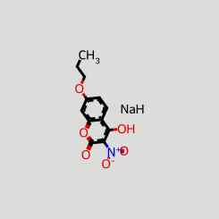 CCCOc1ccc2c(O)c([N+](=O)[O-])c(=O)oc2c1.[NaH]